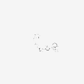 C[C@H](N)C(=O)N[C@@H](CCC(=O)NCc1cnc(-c2ccc(NCC3(c4ncccc4F)CCC3)nn2)s1)C(=O)O